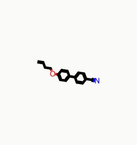 C=CCCOc1ccc(-c2ccc(C#N)cc2)cc1